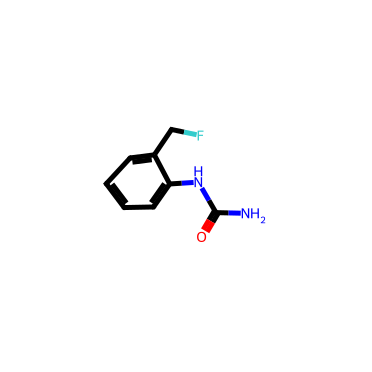 NC(=O)Nc1ccccc1CF